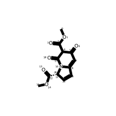 COC(=O)C1C(=O)C=C2C=C[C@H](C(=O)OC)N2C1=O